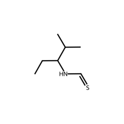 CCC(NC=S)C(C)C